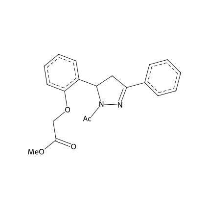 COC(=O)COc1ccccc1C1CC(c2ccccc2)=NN1C(C)=O